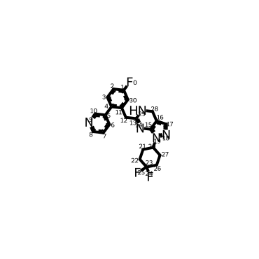 Fc1ccc(-c2cccnc2)c(CC2=Nc3c(cnn3C3CCC(F)(F)CC3)CN2)c1